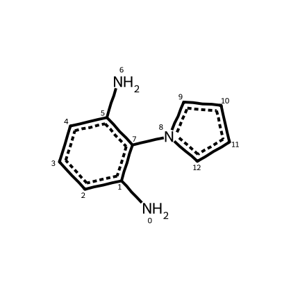 Nc1cccc(N)c1-n1cccc1